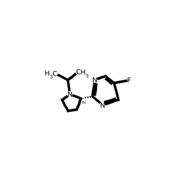 CC(C)N1CCC[C@H]1c1ncc(F)cn1